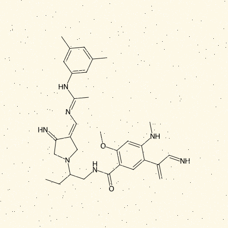 C=C(C=N)c1cc(C(=O)NCC(CC)N2CC(=N)/C(=C\N=C(/C)Nc3cc(C)cc(C)c3)C2)c(OC)cc1NC